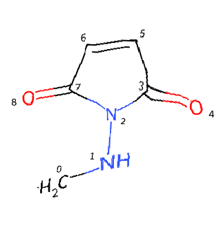 [CH2]NN1C(=O)C=CC1=O